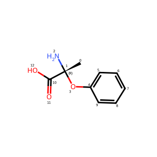 C[C@@](N)(Oc1ccccc1)C(=O)O